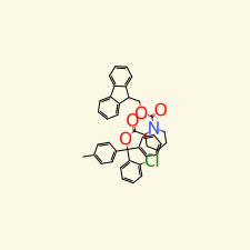 Cc1ccc(C(OC(=O)C2CCCCN2C(=O)OCC2c3ccccc3-c3ccccc32)(c2ccccc2)c2ccccc2Cl)cc1